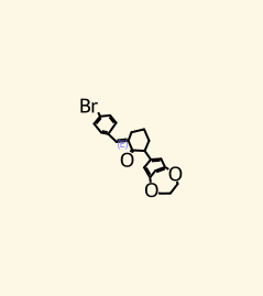 O=C1/C(=C/c2ccc(Br)cc2)CCCC1c1cc2cc(c1)OCCCO2